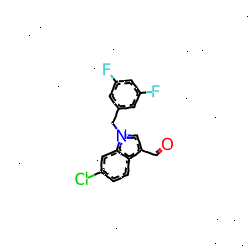 O=Cc1cn(Cc2cc(F)cc(F)c2)c2cc(Cl)ccc12